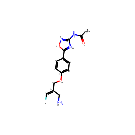 CC(C)(C)C(=O)Nc1noc(-c2ccc(OC/C(=C/F)CN)cc2)n1